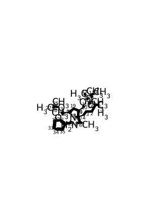 CCCCC[C@]1(C(C)N)[C@H](CO[Si](C)(C)C(C)(C)C)C[C@H](C(=O)OC(C)(C)C)N1Cc1ccccc1